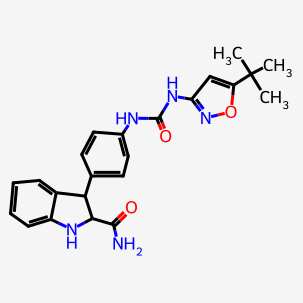 CC(C)(C)c1cc(NC(=O)Nc2ccc(C3c4ccccc4NC3C(N)=O)cc2)no1